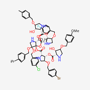 COc1ccc(CO[C@H]2CN[C@H](C(=O)O[C@@H]3[C@@H](OCc4ccc(Br)cc4)CN[C@@H]3C(=O)O[C@]3(OC(=O)[C@H]4NC[C@H](OCc5ccc(F)cc5)[C@H]4OC(=O)[C@H]4NC[C@H](OCc5ccc(C)cc5)[C@H]4O)[C@@H](C(=O)O)NC[C@@]3(OCc3ccc(Cl)cc3)OCc3ccc(C(C)C)cc3)[C@@H]2O)cc1